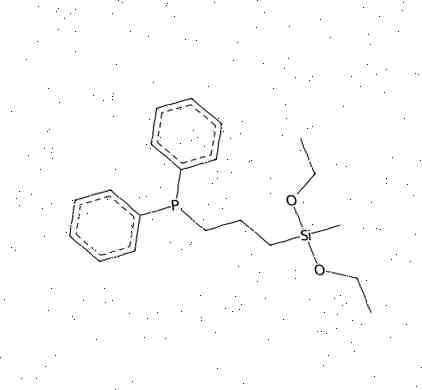 CCO[Si](C)(CCCP(c1ccccc1)c1ccccc1)OCC